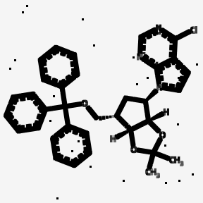 CC1(C)O[C@@H]2[C@H](COC(c3ccccc3)(c3ccccc3)c3ccccc3)C[C@@H](n3ccc4c(Cl)ncnc43)[C@@H]2O1